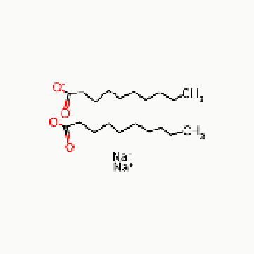 CCCCCCCCCC(=O)[O-].CCCCCCCCCC(=O)[O-].[Na+].[Na+]